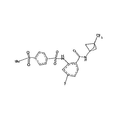 CC(C)(C)S(=O)(=O)c1ccc(S(=O)(=O)Nc2cc(F)ccc2C(=O)NC23CC(C(F)(F)F)(C2)C3)cc1